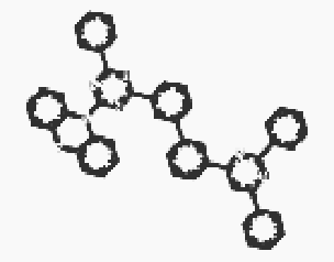 c1ccc(-c2cc(-c3cccc(-c4cccc(-c5nc(-c6ccccc6)nc(N6c7ccccc7Sc7ccccc76)n5)c4)c3)nc(-c3ccccc3)n2)cc1